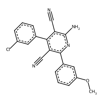 COc1cccc(-c2nc(N)c(C#N)c(-c3cccc(Cl)c3)c2C#N)c1